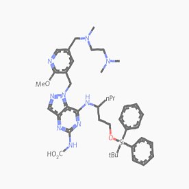 CCCC(CCO[Si](c1ccccc1)(c1ccccc1)C(C)(C)C)Nc1nc(NC(=O)O)nc2cnn(Cc3cc(CN(C)CCN(C)C)cnc3OC)c12